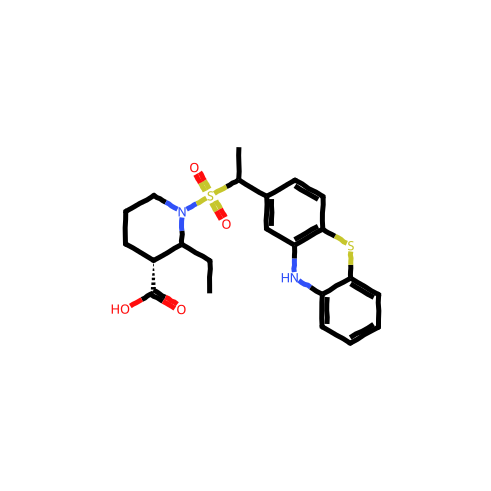 CCC1[C@H](C(=O)O)CCCN1S(=O)(=O)C(C)c1ccc2c(c1)Nc1ccccc1S2